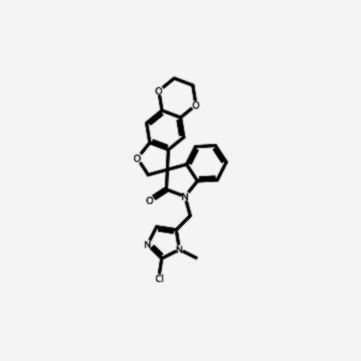 Cn1c(CN2C(=O)C3(COc4cc5c(cc43)OCCO5)c3ccccc32)cnc1Cl